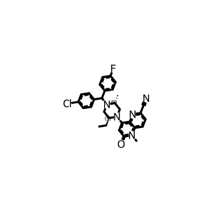 CC[C@H]1CN(C(c2ccc(F)cc2)c2ccc(Cl)cc2)[C@H](C)CN1c1cc(=O)n(C)c2ccc(C#N)nc12